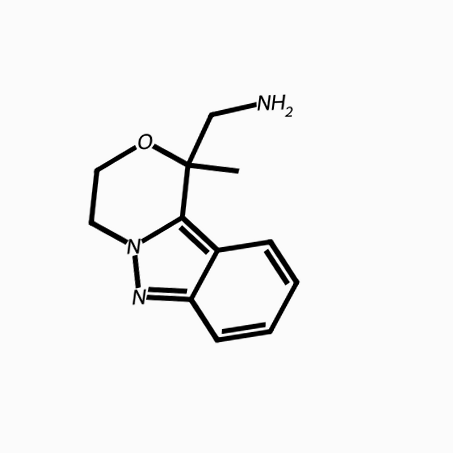 CC1(CN)OCCn2nc3ccccc3c21